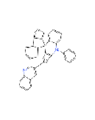 c1ccc(N2c3ccccc3C3(c4ccccc4-c4ccccc43)c3cc(-c4cnc5ccccc5c4)ccc32)cc1